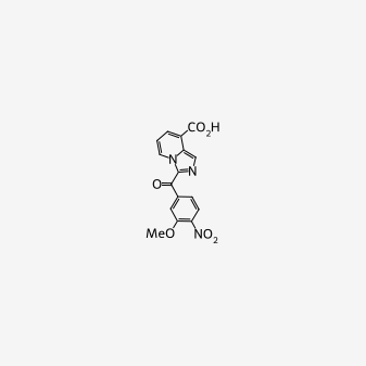 COc1cc(C(=O)c2ncc3c(C(=O)O)cccn23)ccc1[N+](=O)[O-]